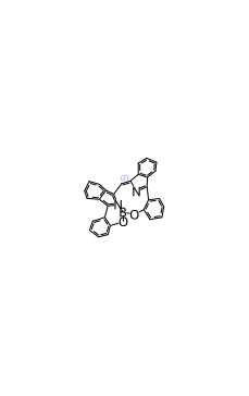 C1=C2\N=C(c3ccccc3OB3Oc4ccccc4-c4c5ccccc5c/1n43)c1ccccc12